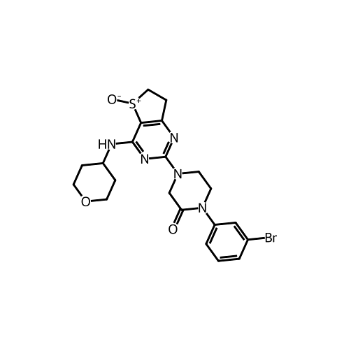 O=C1CN(c2nc3c(c(NC4CCOCC4)n2)[S+]([O-])CC3)CCN1c1cccc(Br)c1